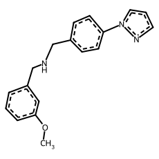 COc1cccc(CNCc2ccc(-n3cccn3)cc2)c1